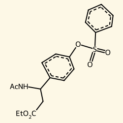 CCOC(=O)CC(NC(C)=O)c1ccc(OS(=O)(=O)c2ccccc2)cc1